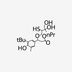 CCCOC(=O)CC(OCC(S)C(C)(O)CO)c1cc(C)c(O)c(C(C)(C)C)c1